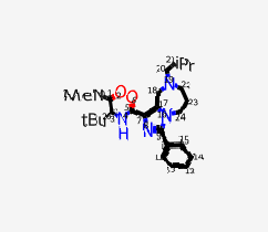 CNC(=O)[C@@H](NC(=O)c1nc(C2=CC=CCC2)n2c1CN(CC(C)C)CCC2)C(C)(C)C